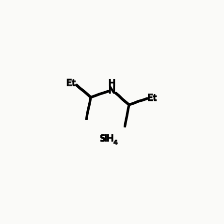 CCC(C)NC(C)CC.[SiH4]